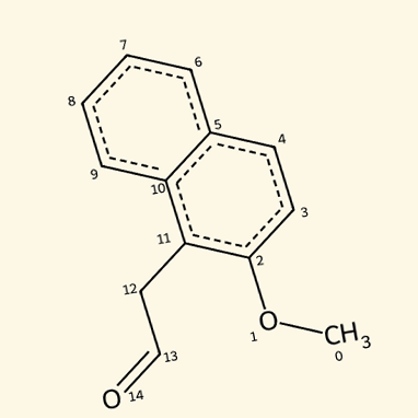 COc1ccc2ccccc2c1CC=O